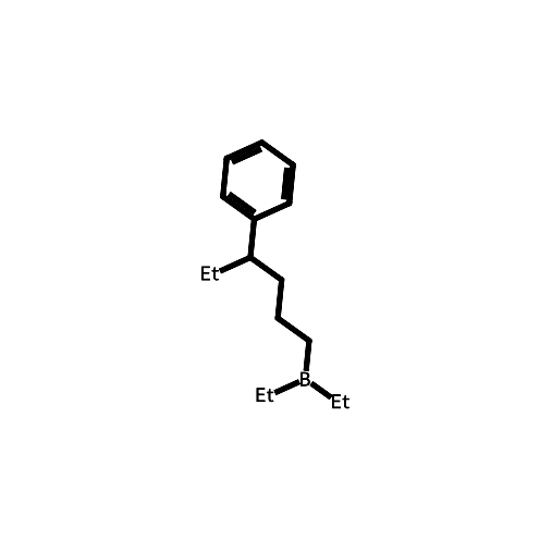 CCB(CC)CCCC(CC)c1ccccc1